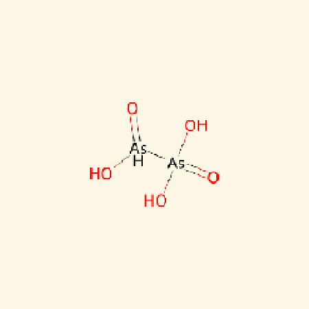 O=[AsH](O)[As](=O)(O)O